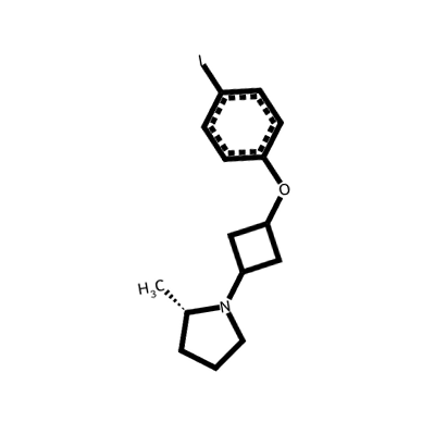 C[C@H]1CCCN1C1CC(Oc2ccc(I)cc2)C1